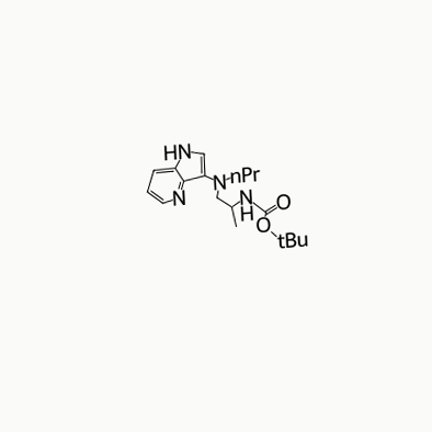 CCCN(CC(C)NC(=O)OC(C)(C)C)c1c[nH]c2cccnc12